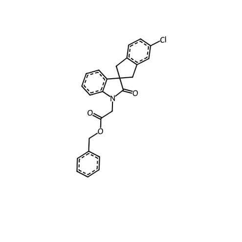 O=C(CN1C(=O)C2(Cc3ccc(Cl)cc3C2)c2ccccc21)OCc1ccccc1